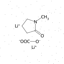 CN1CCCC1=O.O=C([O-])[O-].[Li+].[Li+]